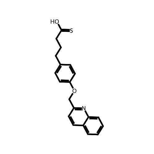 OC(=S)CCCc1ccc(OCc2ccc3ccccc3n2)cc1